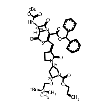 C=CCOC(=O)N1C[C@H](N2CCC(=CC3=C(C(=O)OC(c4ccccc4)c4ccccc4)N4C(=O)[C@H](NC(=O)OC(C)(C)C)[C@@H]4C(=O)S3)C2=O)C[C@@H]1OC[Si](C)(C)C(C)(C)C